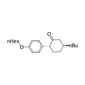 CCCCCCOc1ccc([C@H]2CC[C@H](CCCC)CC2=O)cc1